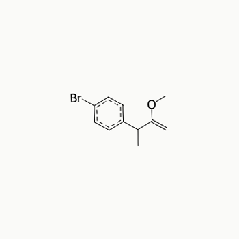 C=C(OC)C(C)c1ccc(Br)cc1